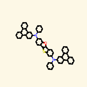 c1ccc(N(c2ccc3c(c2)oc2c4ccc(N(c5ccccc5)c5ccc6c7ccccc7c7ccccc7c6c5)cc4sc32)c2ccc3c4ccccc4c4ccccc4c3c2)cc1